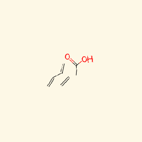 C=C.C=CC=C.CC(=O)O